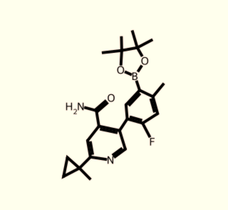 Cc1cc(F)c(-c2cnc(C3(C)CC3)cc2C(N)=O)cc1B1OC(C)(C)C(C)(C)O1